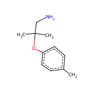 [CH2]c1ccc(OC(C)(C)CN)cc1